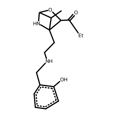 CCC(=O)C1OC2NC1(CCNCc1ccccc1O)C2C